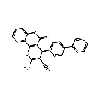 N#CC1=C(N)Oc2c(c(=O)oc3ccccc23)C1c1ccc(-c2cccnc2)cc1